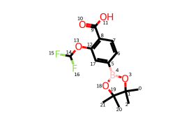 CC1(C)OB(c2ccc(C(=O)O)c(OC(F)F)c2)OC1(C)C